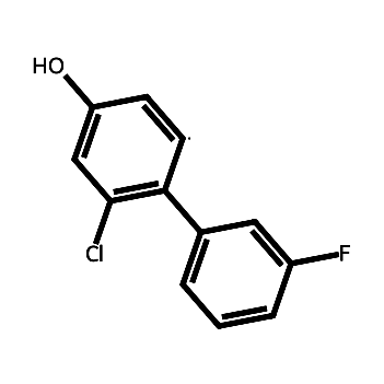 Oc1c[c]c(-c2cccc(F)c2)c(Cl)c1